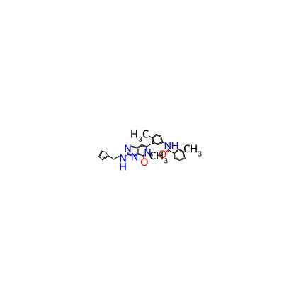 Cc1cccc(C(=O)Nc2ccc(C)c(-c3cc4cnc(NCCC5=CC=CC5)nc4c(=O)n3C)c2)c1